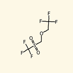 O=S(=O)(COCC(F)(F)F)C(F)(F)F